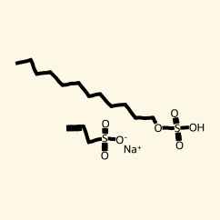 C=CCS(=O)(=O)[O-].CCCCCCCCCCCCOS(=O)(=O)O.[Na+]